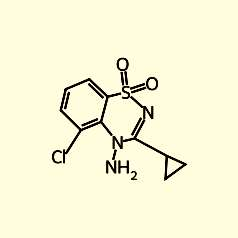 NN1C(C2CC2)=NS(=O)(=O)c2cccc(Cl)c21